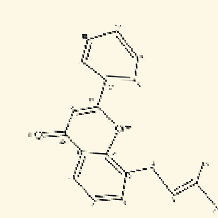 CC(C)=CCc1cccc2c(=O)cc(-c3ccccc3)oc12